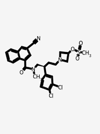 CN(C[C@@H](CCN1CC(OS(C)(=O)=O)C1)c1ccc(Cl)c(Cl)c1)C(=O)c1cc(C#N)cc2ccccc12